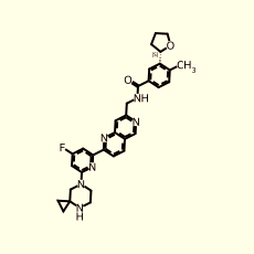 Cc1ccc(C(=O)NCc2cc3nc(-c4cc(F)cc(N5CCNC6(CC6)C5)n4)ccc3cn2)cc1[C@@H]1CCCO1